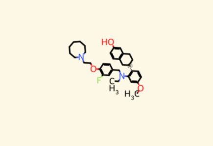 CCN(Cc1ccc(OCCN2CCCCCCC2)c(F)c1)c1cc(OC)ccc1[C@H]1CCc2cc(O)ccc2C1